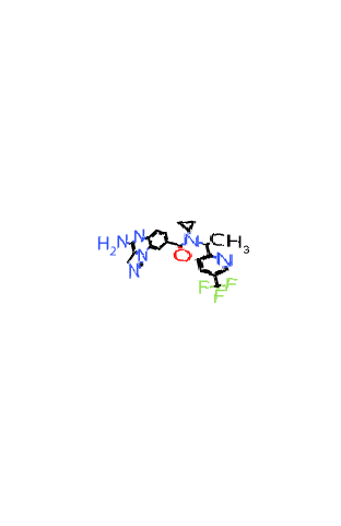 CC(c1ccc(C(F)(F)F)cn1)N(C(=O)c1ccc2nc(N)c3cncn3c2c1)C1CC1